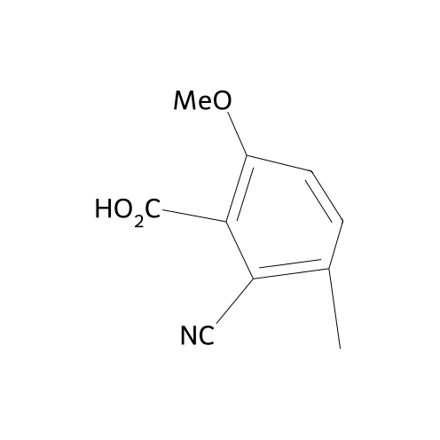 COc1ccc(C)c(C#N)c1C(=O)O